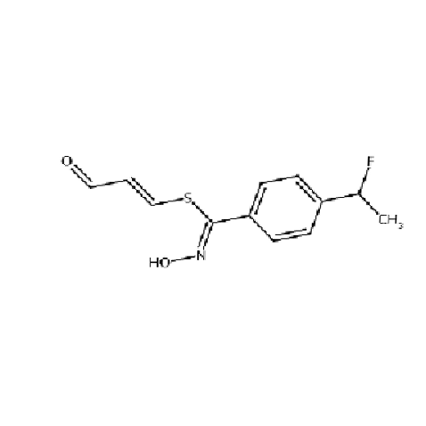 CC(F)c1ccc(/C(=N/O)S/C=C/C=O)cc1